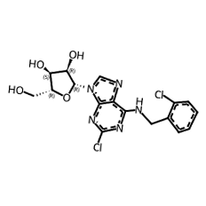 OC[C@H]1O[C@@H](n2cnc3c(NCc4ccccc4Cl)nc(Cl)nc32)[C@H](O)[C@@H]1O